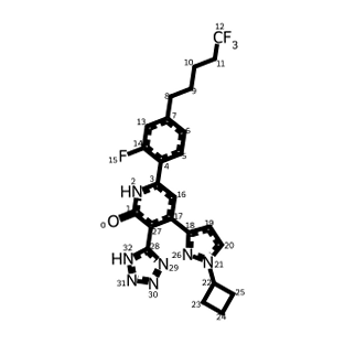 O=c1[nH]c(-c2ccc(CCCCC(F)(F)F)cc2F)cc(-c2ccn(C3CCC3)n2)c1-c1nnn[nH]1